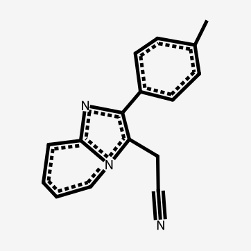 Cc1ccc(-c2nc3ccccn3c2CC#N)cc1